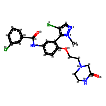 Cn1ncc(Br)c1-c1cc(NC(=O)c2cccc(Cl)c2)ccc1OCCN1CCNC(=O)C1